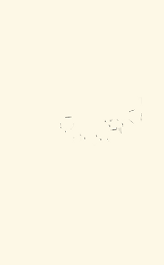 CC1(C)CN(C(=O)c2cccc(C(F)(F)F)n2)CCN1C(=O)c1ncn(-c2cccc(Cl)c2)n1